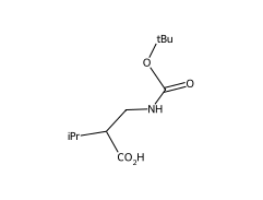 CC(C)C(CNC(=O)OC(C)(C)C)C(=O)O